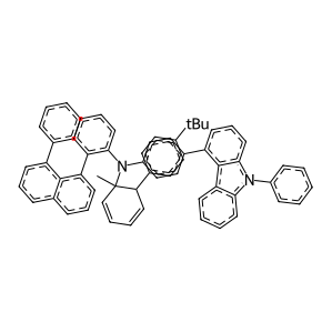 CC(C)(C)c1ccc(C2C=CC=CC2(C)N(c2ccc(-c3cccc4c3c3ccccc3n4-c3ccccc3)cc2)c2ccccc2-c2cccc3cccc(-c4ccccc4)c23)cc1